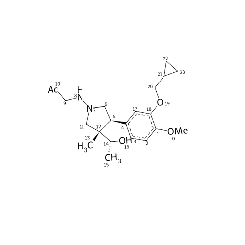 COc1ccc([C@@H]2CN(NCC(C)=O)C[C@@]2(C)[C@@H](C)O)cc1OCC1CC1